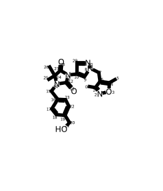 Cc1noc(C)c1Cn1cc(N2C(=O)N(Cc3ccc(CO)cc3)C(C)(C)C2=O)cn1